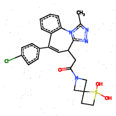 Cc1nnc2n1-c1ccccc1C(c1ccc(Cl)cc1)=CC2CC(=O)N1CC2(CCS2(O)O)C1